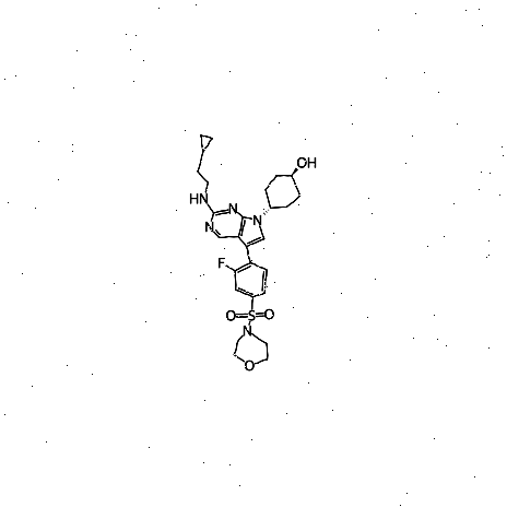 O=S(=O)(c1ccc(-c2cn([C@H]3CC[C@H](O)CC3)c3nc(NCCC4CC4)ncc23)c(F)c1)N1CCOCC1